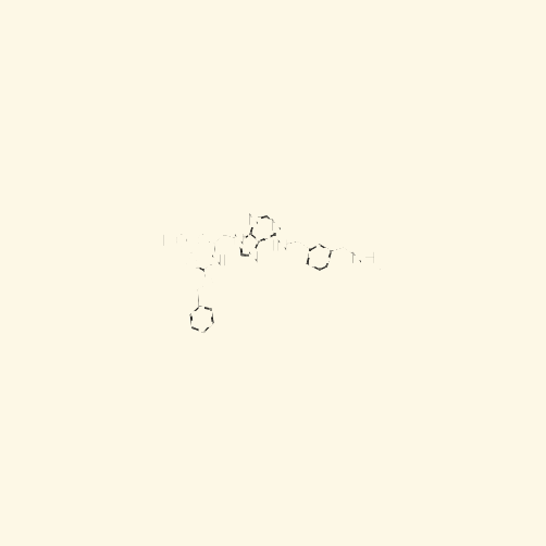 NCc1cccc(CNc2ncnc3c2ncn3C[C@@H](NC(=O)OCc2ccccc2)C(=O)O)c1